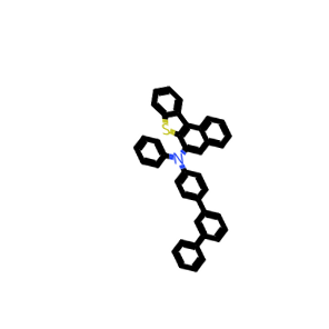 c1ccc(-c2cccc(-c3ccc(N(c4ccccc4)c4cc5ccccc5c5c4sc4ccccc45)cc3)c2)cc1